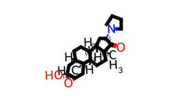 C[C@]12CC3O[C@@]3(O)C[C@@H]1CC[C@@H]1[C@@H]2CC[C@]2(C)C(=O)[C@@H](N3CCCC3)C[C@@H]12